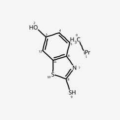 CC(C)C.Oc1ccc2nc(S)sc2c1